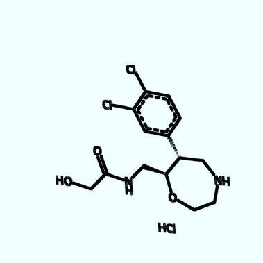 Cl.O=C(CO)NC[C@@H]1OCCNC[C@H]1c1ccc(Cl)c(Cl)c1